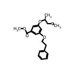 COC[C@H](C)Oc1cc(OCCc2ccccc2)cc(C(=O)OC)c1